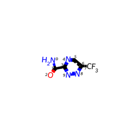 NC(=O)c1ncc(C(F)(F)F)nn1